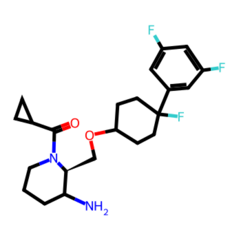 NC1CCCN(C(=O)C2CC2)[C@H]1COC1CCC(F)(c2cc(F)cc(F)c2)CC1